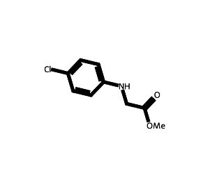 COC(=O)CNc1ccc(Cl)cc1